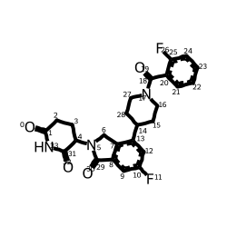 O=C1CCC(N2Cc3c(cc(F)cc3C3CCN(C(=O)c4ccccc4F)CC3)C2=O)C(=O)N1